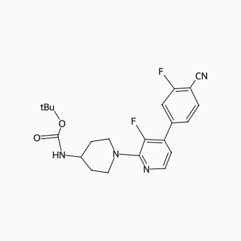 CC(C)(C)OC(=O)NC1CCN(c2nccc(-c3ccc(C#N)c(F)c3)c2F)CC1